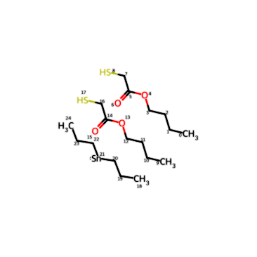 CCCCOC(=O)CS.CCCCOC(=O)CS.CC[CH2][Sn][CH2]CC